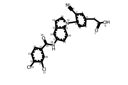 N#Cc1cc(CC(=O)O)ccc1-n1ccc2cc(NC(=O)c3ccc(Cl)c(Cl)c3)ccc21